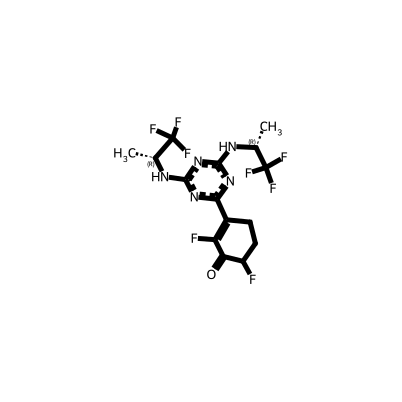 C[C@@H](Nc1nc(N[C@H](C)C(F)(F)F)nc(C2=C(F)C(=O)C(F)CC2)n1)C(F)(F)F